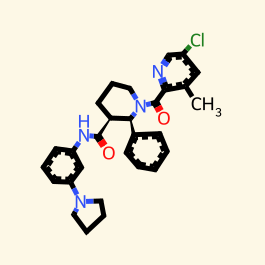 Cc1cc(Cl)cnc1C(=O)N1CCC[C@H](C(=O)Nc2cccc(N3CCCC3)c2)[C@@H]1c1ccccc1